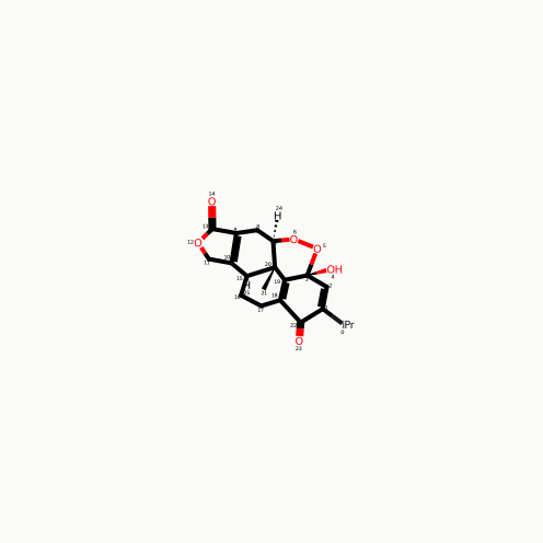 CC(C)C1=C[C@@]2(O)OO[C@@H]3CC4=C(COC4=O)[C@@H]4CCC(=C2[C@@]34C)C1=O